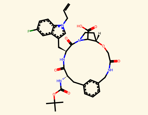 C=CCn1cc(C[C@@H]2NC(=O)[C@@H](NC(=O)OC(C)(C)C)Cc3cccc(c3)CNC(=O)CO[C@H]3CCN(C2=O)C3C(=O)O)c2cc(F)ccc21